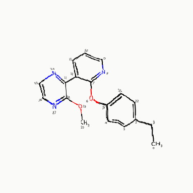 CCc1ccc(Oc2ncccc2-c2nccnc2OC)cc1